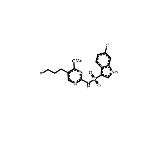 COc1nc(NS(=O)(=O)c2c[nH]c3cc(Cl)ccc23)ncc1CCCF